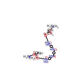 CC(=O)OCC(C)(COC(=O)OCCCCCNC(=O)Nc1ccc(CNC(=O)c2ccc(C(=O)NCc3ccc(NC(=O)NCCCCCOC(=O)OCC(C)(COC(C)=O)C(=O)OCCCN(C)C)cc3)cc2)cc1)C(=O)OCCCN(C)C